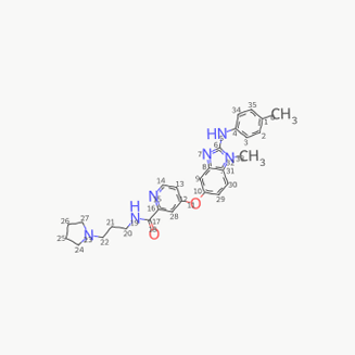 Cc1ccc(Nc2nc3cc(Oc4ccnc(C(=O)NCCCN5CCCC5)c4)ccc3n2C)cc1